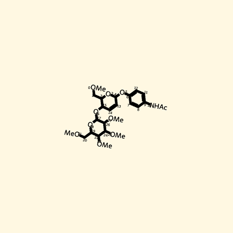 COCC1OC(Oc2ccc(NC(C)=O)cc2)C=CC1OC1OC(COC)C(OC)C(OC)C1OC